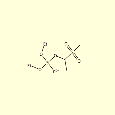 CCC[Si](OCC)(OCC)OC(C)S(C)(=O)=O